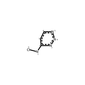 Cl[N]c1ccnnn1